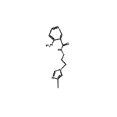 Cc1cn(CCCNC(=O)c2ccccc2N)cn1